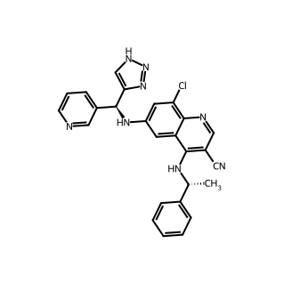 C[C@@H](Nc1c(C#N)cnc2c(Cl)cc(N[C@@H](c3cccnc3)c3c[nH]nn3)cc12)c1ccccc1